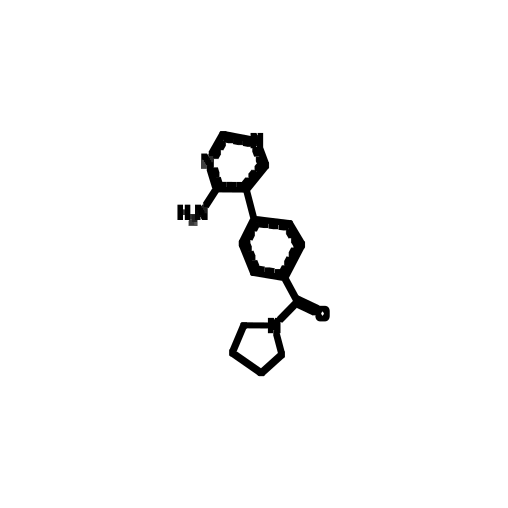 Nc1ncncc1-c1ccc(C(=O)N2CCCC2)cc1